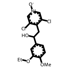 CCOc1cc(C(O)Cc2c(Cl)c[n+]([O-])cc2Cl)ccc1OC